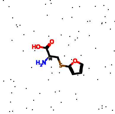 N[C@@H](CSc1ccco1)C(=O)O